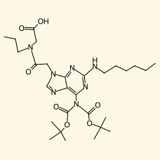 CCCCCCNc1nc(N(C(=O)OC(C)(C)C)C(=O)OC(C)(C)C)c2ncn(CC(=O)N(CCC)CC(=O)O)c2n1